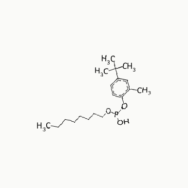 CCCCCCCCOP(O)Oc1ccc(C(C)(C)C)cc1C